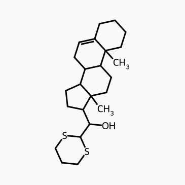 CC12CCCCC1=CCC1C2CCC2(C)C(C(O)C3SCCCS3)CCC12